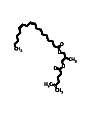 CCCCC/C=C\C/C=C\CCCCCCCC(=O)OCC(C)COC(=O)CCCN(C)C